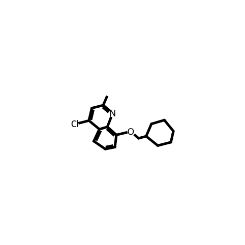 Cc1cc(Cl)c2cccc(OCC3CCCCC3)c2n1